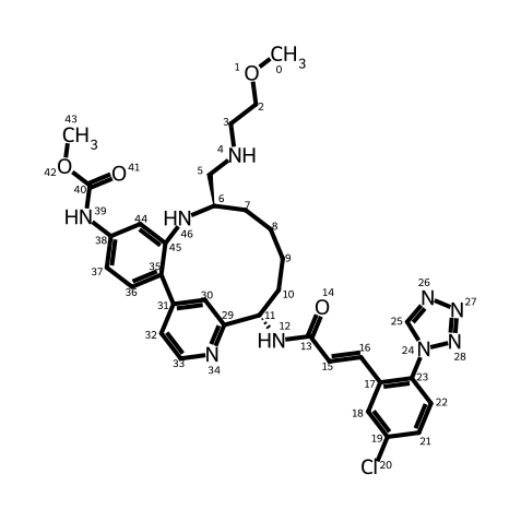 COCCNC[C@H]1CCCC[C@H](NC(=O)/C=C/c2cc(Cl)ccc2-n2cnnn2)c2cc(ccn2)-c2ccc(NC(=O)OC)cc2N1